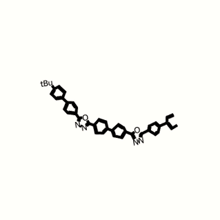 C=C/C(=C\C)c1ccc(-c2nnc(-c3ccc(-c4ccc(-c5nnc(-c6ccc(-c7ccc(C(C)(C)C)cc7)cc6)o5)cc4)cc3)o2)cc1